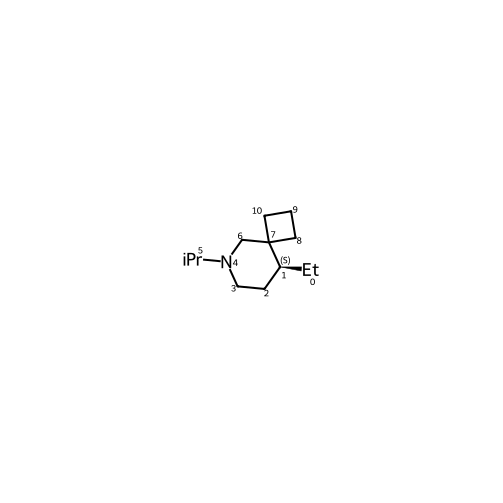 CC[C@H]1CCN(C(C)C)CC12CCC2